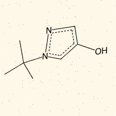 CC(C)(C)n1cc(O)cn1